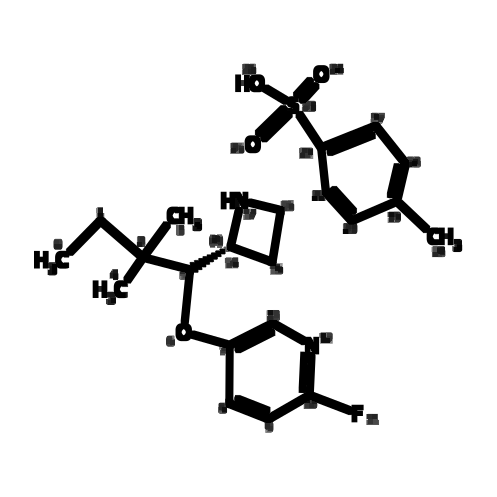 CCC(C)(C)C(Oc1ccc(F)nc1)[C@H]1CCN1.Cc1ccc(S(=O)(=O)O)cc1